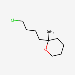 [SiH3]C1(CCCCCl)CCCCO1